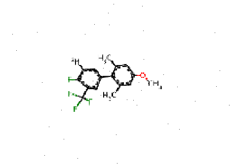 [2H]c1cc(-c2c(C)cc(OC)cc2C)cc(C(F)(F)F)c1F